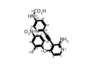 Nc1nccc(Oc2ccc([N+](=O)[O-])cc2F)c1C#Cc1ccc(NC(=O)O)cn1